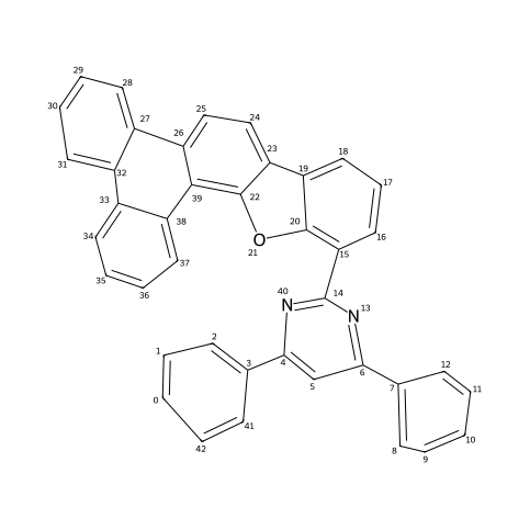 c1ccc(-c2cc(-c3ccccc3)nc(-c3cccc4c3oc3c4ccc4c5ccccc5c5ccccc5c43)n2)cc1